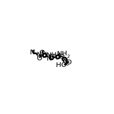 COc1cc(Nc2nccc(-c3ccc(OC4CCN(C(=O)[C@H](C)O)CC4)c(N)c3)n2)ccc1C(=O)NCCCN(C)C